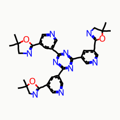 CC1(C)CN=C(c2cncc(-c3nc(-c4cncc(C5=NCC(C)(C)O5)c4)nc(-c4cncc(C5=NCC(C)(C)O5)c4)n3)c2)O1